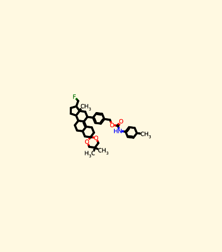 CC1C=CC(NC(=O)OCc2ccc(C3CC4(C)C(CF)CCC4C4CCC5CC6(CCC5=C34)OCC(C)(C)CO6)cc2)=CC1